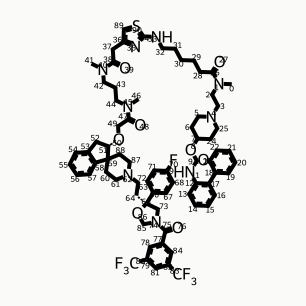 CN(CCN1CCC(OC(=O)Nc2ccccc2-c2ccccc2)CC1)C(=O)CCCCCNc1nc(CC(=O)N(C)CCCN(C)C(=O)CO[C@H]2Cc3ccccc3C23CCN(CC[C@]2(c4ccc(F)cc4)CN(C(=O)c4cc(C(F)(F)F)cc(C(F)(F)F)c4)CO2)CC3)cs1